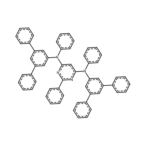 c1ccc(-c2cc(-c3ccccc3)cc(N(c3ccccc3)c3cc(N(c4ccccc4)c4cc(-c5ccccc5)cc(-c5ccccc5)c4)nc(-c4ccccc4)n3)c2)cc1